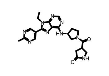 CCn1c(-c2cnc(C)nc2)nc2c(N[C@H]3CCN(C(=O)C4CNC(=O)C4)C3)ncnc21